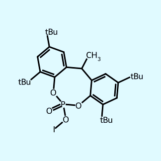 CC1c2cc(C(C)(C)C)cc(C(C)(C)C)c2OP(=O)(OI)Oc2c1cc(C(C)(C)C)cc2C(C)(C)C